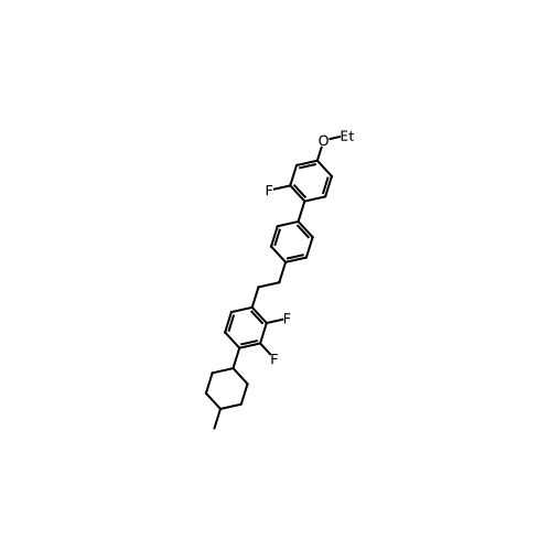 CCOc1ccc(-c2ccc(CCc3ccc(C4CCC(C)CC4)c(F)c3F)cc2)c(F)c1